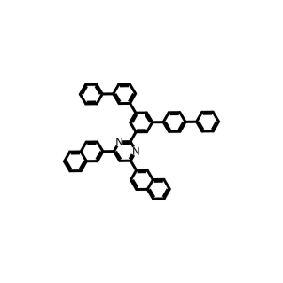 c1ccc(-c2ccc(-c3cc(-c4cccc(-c5ccccc5)c4)cc(-c4nc(-c5ccc6ccccc6c5)cc(-c5ccc6ccccc6c5)n4)c3)cc2)cc1